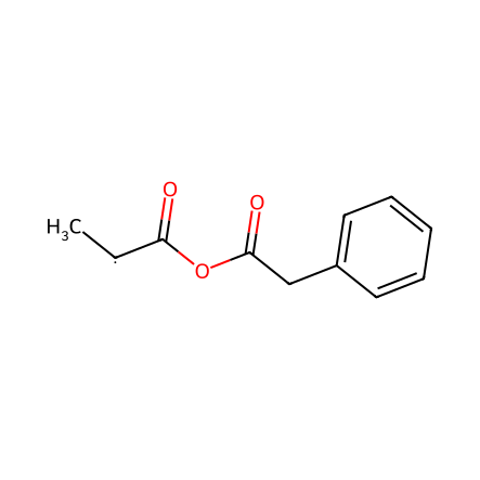 C[CH]C(=O)OC(=O)Cc1ccccc1